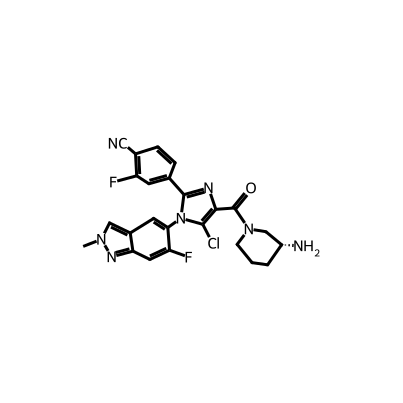 Cn1cc2cc(-n3c(-c4ccc(C#N)c(F)c4)nc(C(=O)N4CCC[C@@H](N)C4)c3Cl)c(F)cc2n1